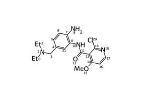 CCN(CC)Cc1ccc(N)c(NC(=O)c2c(OC)ccnc2Cl)c1